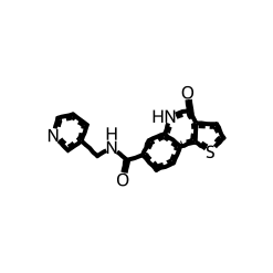 O=C(NCc1cccnc1)c1ccc2c(c1)[nH]c(=O)c1ccsc12